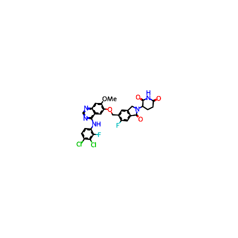 COc1cc2ncnc(Nc3ccc(Cl)c(Cl)c3F)c2cc1OCc1cc2c(cc1F)C(=O)N(C1CCC(=O)NC1=O)C2